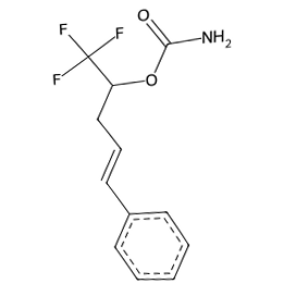 NC(=O)OC(CC=Cc1ccccc1)C(F)(F)F